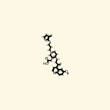 COc1ccc2nccc(C(F)CC[C@@H]3CCN(CCCSc4sccc4C)C[C@@H]3CC(=O)O)c2c1